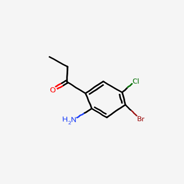 CCC(=O)c1cc(Cl)c(Br)cc1N